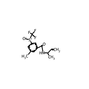 C=CC(C)NC(=O)c1cc(C)cc([S+]([O-])C(F)(F)F)c1